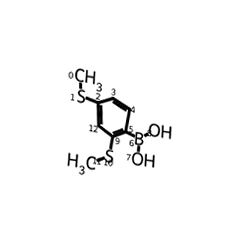 CSc1ccc(B(O)O)c(SC)c1